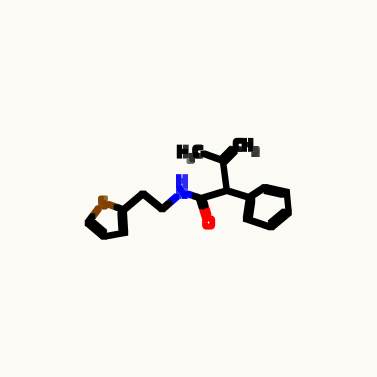 C=C(C)C(C(=O)NCCc1cccs1)c1ccccc1